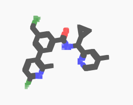 Cc1ccnc(C(NC(=O)c2cc(CBr)cc(-c3ccc(F)nc3C)c2)C2CC2)c1